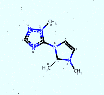 C[C@H]1N(C)C=CN1c1ncnn1C